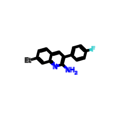 CCc1ccc2cc(-c3ccc(F)cc3)c(N)nc2c1